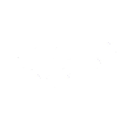 CC(C)Cn1c(=O)c(C(=O)Nc2cccc(N3CCNCC3)c2)c(O)c2ccccc21